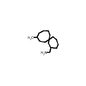 CC1CCCCC2(CCCCC(CN)C2)CC1